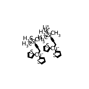 C[Si](C)(C)C#C[CH2][Cu-]([c]1cccs1)[c]1cccs1.C[Si](C)(C)C#C[CH2][Cu-]([c]1cccs1)[c]1cccs1.[Li+].[Li+]